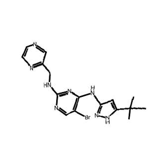 CC(C)(C)c1cc(Nc2nc(NCc3cnccn3)ncc2Br)n[nH]1